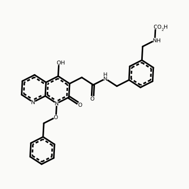 O=C(O)NCc1cccc(CNC(=O)Cc2c(O)c3cccnc3n(OCc3ccccc3)c2=O)c1